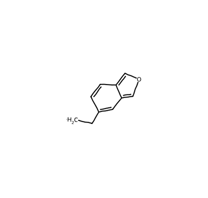 [CH2]Cc1ccc2cocc2c1